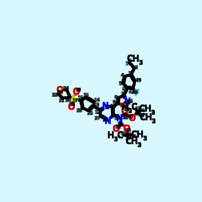 CCCc1ccc(-c2cc(-c3nc(-c4ccc(S(=O)(=O)C5CCOC5)cc4)cnc3N(C(=O)OC(C)(C)C)C(=O)OC(C)(C)C)on2)c(F)c1